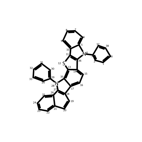 c1ccc(-n2c3ccccc3c3sc4c(ccc5c6ccc7ccccc7c6n(-c6ccccc6)c54)c32)cc1